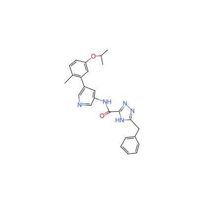 Cc1ccc(OC(C)C)cc1-c1cncc(NC(=O)c2nnc(Cc3ccccc3)[nH]2)c1